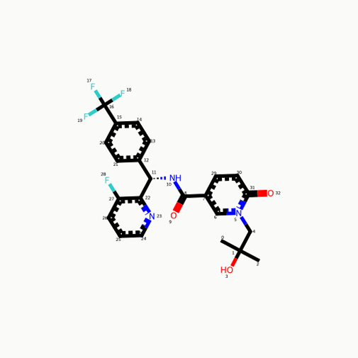 CC(C)(O)Cn1cc(C(=O)N[C@@H](c2ccc(C(F)(F)F)cc2)c2ncccc2F)ccc1=O